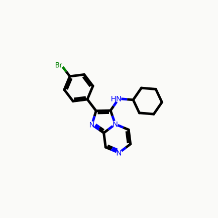 Brc1ccc(-c2nc3cnccn3c2NC2CCCCC2)cc1